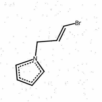 BrC=CCn1cccc1